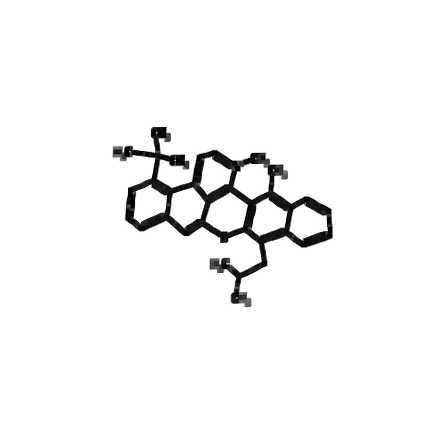 Cc1c2c(c(CC(C)C)c3ccccc13)Sc1cc3cccc(C(C)(C)C)c3c3cc[n+](C)c-2c13